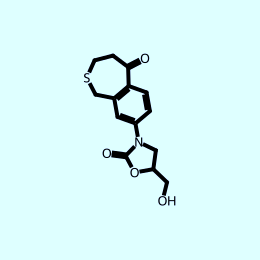 O=C1CCSCc2cc(N3CC(CO)OC3=O)ccc21